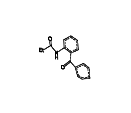 CCC(=O)Nc1ccccc1C(=O)c1ccccc1